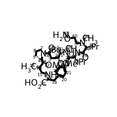 CC[C@H](C)[C@@H]([C@@H](CC(=O)N1CCC[C@H]1[C@H](OC)[C@@H](C)CN[C@@H](Cc1ccccc1)C(=O)O)OC)N(C)C(=O)[C@@H](NC(=O)[C@H](C(C)C)N(C)CCON)C(C)C